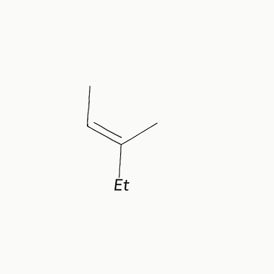 CC=C(C)CC